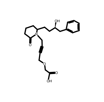 O=C(O)COCC#CCN1C(=O)CCCC1CC[C@@H](O)Cc1ccccc1